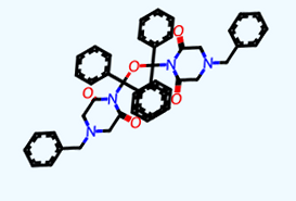 O=C1CN(Cc2ccccc2)CC(=O)N1C(OC(c1ccccc1)(c1ccccc1)N1C(=O)CN(Cc2ccccc2)CC1=O)(c1ccccc1)c1ccccc1